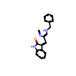 C=NC(=C\NCc1ccccc1)/C=C1\C(=O)Nc2ccccc21